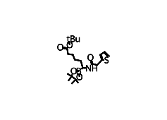 CC(C)(C)OC(=O)CCCCC(NC(=O)Cc1cccs1)B1OC(C)(C)C(C)(C)O1